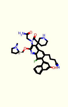 CN1CCC[C@H]1COc1nc2c(F)c(-c3cc(O)cc4ccccc34)c(CCCC#N)cc2c2c1N(CC(N)=O)C(=O)C21CCCNC1